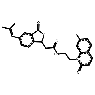 CC(C)=Cc1ccc2c(c1)C(=O)OC2CC(=O)NCCn1c(=O)ccc2ccc(F)cc21